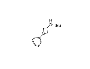 CC(C)(C)NC1CN(c2ccccc2)C1